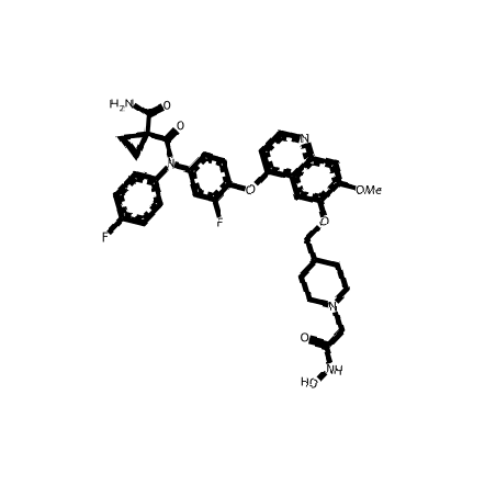 COc1cc2nccc(Oc3ccc(N(C(=O)C4(C(N)=O)CC4)c4ccc(F)cc4)cc3F)c2cc1OCC1CCN(CC(=O)NO)CC1